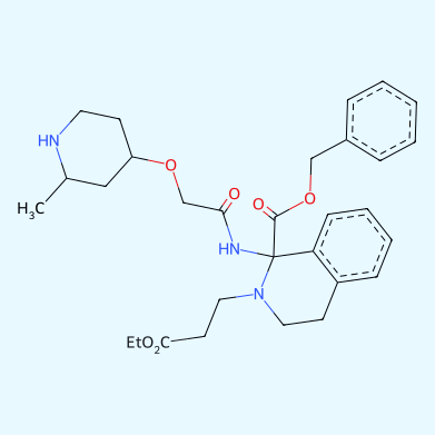 CCOC(=O)CCN1CCc2ccccc2C1(NC(=O)COC1CCNC(C)C1)C(=O)OCc1ccccc1